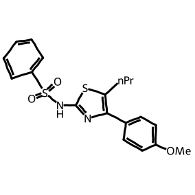 CCCc1sc(NS(=O)(=O)c2ccccc2)nc1-c1ccc(OC)cc1